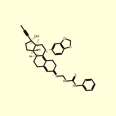 CC#C[C@]1(O)CC[C@H]2[C@@H]3CCC4=C/C(=N/CNC(=S)Nc5ccccc5)CCC4=C3[C@@H](c3ccc4c(c3)OCO4)C[C@@]21C